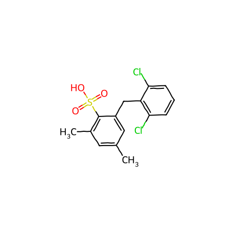 Cc1cc(C)c(S(=O)(=O)O)c(Cc2c(Cl)cccc2Cl)c1